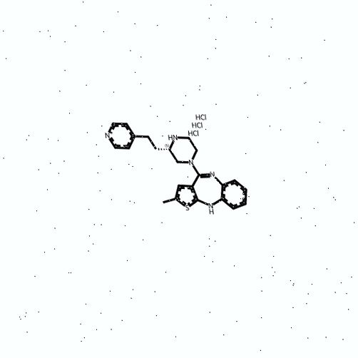 Cc1cc2c(s1)Nc1ccccc1N=C2N1CCN[C@@H](CCc2ccncc2)C1.Cl.Cl.Cl